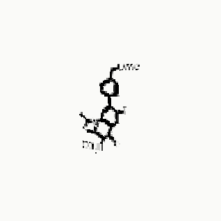 COCc1ccc(-c2cc3c(cc2F)c(=O)c(C(=O)O)c2n3C(C)S2)cc1